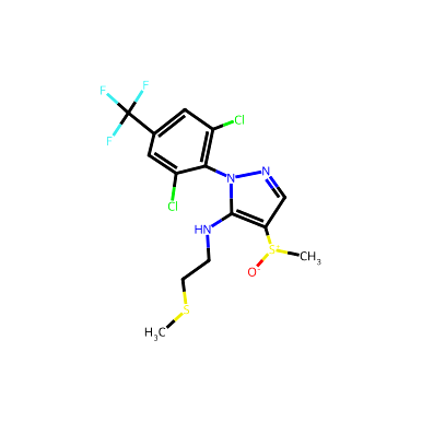 CSCCNc1c([S+](C)[O-])cnn1-c1c(Cl)cc(C(F)(F)F)cc1Cl